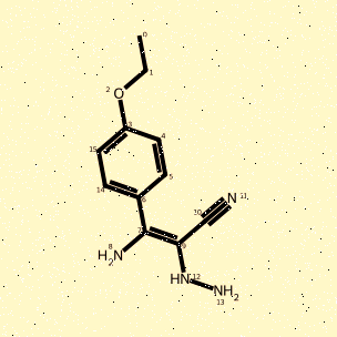 CCOc1ccc(/C(N)=C(\C#N)NN)cc1